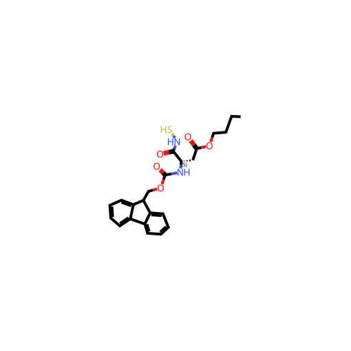 CCCCOC(=O)C[C@H](NC(=O)OCC1c2ccccc2-c2ccccc21)C(=O)NS